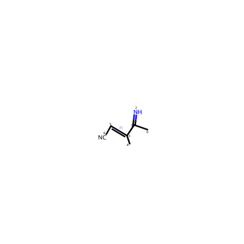 CC(=N)/C(C)=C/C#N